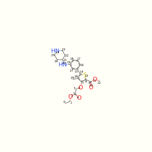 CCOC(=O)COc1c(C(=O)OC)sc(-c2cccc(NC3CCNCC3)c2)c1C